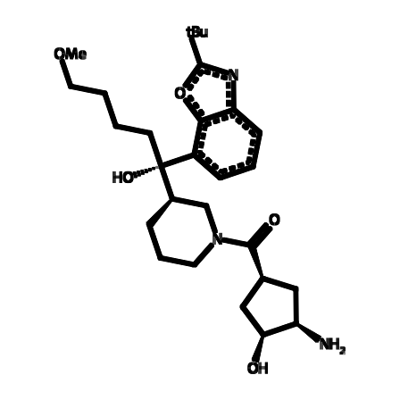 COCCCC[C@@](O)(c1cccc2nc(C(C)(C)C)oc12)[C@@H]1CCCN(C(=O)[C@H]2C[C@@H](N)[C@@H](O)C2)C1